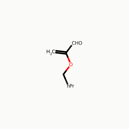 C=C(C=O)OCCCC